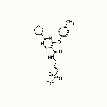 Cc1ccc(Oc2nc(C3CCCC3)ncc2C(=O)NCC=CS(C)(=O)=O)cc1